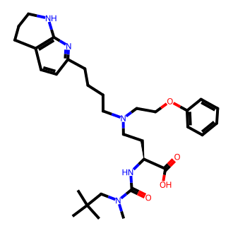 CN(CC(C)(C)C)C(=O)N[C@@H](CCN(CCCCc1ccc2c(n1)NCCC2)CCOc1ccccc1)C(=O)O